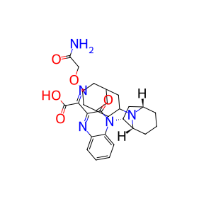 NC(=O)CO/N=C(\C(=O)O)c1nc2ccccc2n([C@@H]2C[C@@H]3CCC[C@H]2N3C2CC3CCCC(C3)C2)c1=O